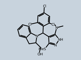 CSc1n[nH]c(N(C)C)c1C(c1c(Cl)cc(Cl)cc1Cl)N1c2ccccc2CC1CO